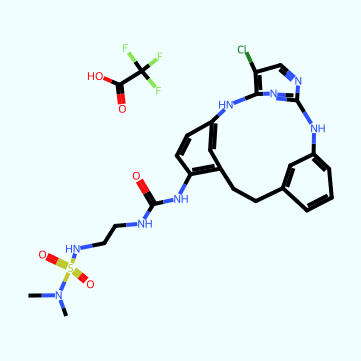 CN(C)S(=O)(=O)NCCNC(=O)Nc1ccc2cc1CCc1cccc(c1)Nc1ncc(Cl)c(n1)N2.O=C(O)C(F)(F)F